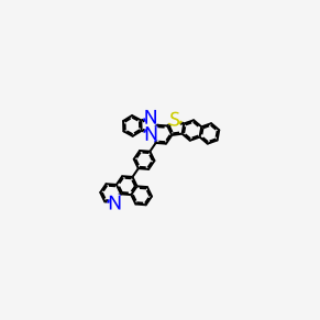 c1ccc2cc3c(cc2c1)sc1c3cc(-c2ccc(-c3cc4cccnc4c4ccccc34)cc2)n2c3ccccc3nc12